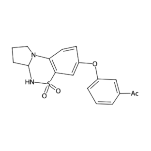 CC(=O)c1cccc(Oc2ccc3c(c2)S(=O)(=O)NC2CCCN32)c1